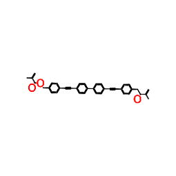 C=C(C)C(=O)Cc1ccc(C#Cc2ccc(-c3ccc(C#Cc4ccc(COC(=O)C(=C)C)cc4)cc3)cc2)cc1